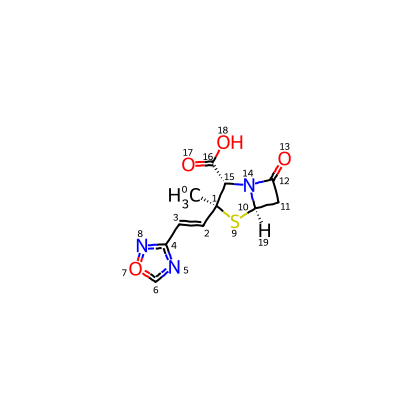 C[C@@]1(/C=C/c2ncon2)S[C@@H]2CC(=O)N2[C@H]1C(=O)O